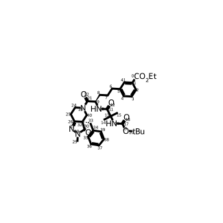 CCOC(=O)c1cccc(CCC[C@@H](NC(=O)C(C)(C)NC(=O)OC(C)(C)C)C(=O)N2CCC3=NN(C)C(=O)[C@]3(Cc3ccccc3)C2)c1